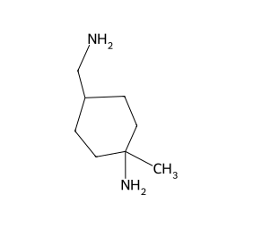 CC1(N)CCC(CN)CC1